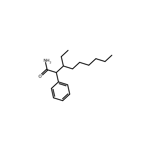 CCCCCCC(CC)C(C(N)=O)c1ccccc1